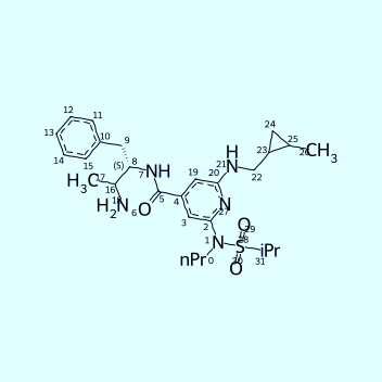 CCCN(c1cc(C(=O)N[C@@H](Cc2ccccc2)C(C)N)cc(NCC2CC2C)n1)S(=O)(=O)C(C)C